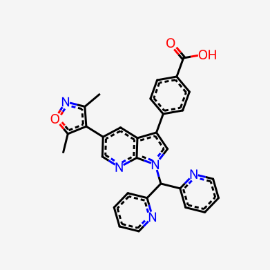 Cc1noc(C)c1-c1cnc2c(c1)c(-c1ccc(C(=O)O)cc1)cn2C(c1ccccn1)c1ccccn1